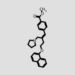 COC(=O)c1ccc(/C=C(/CCOc2cccc3ccccc23)CN2CCCC2)cc1